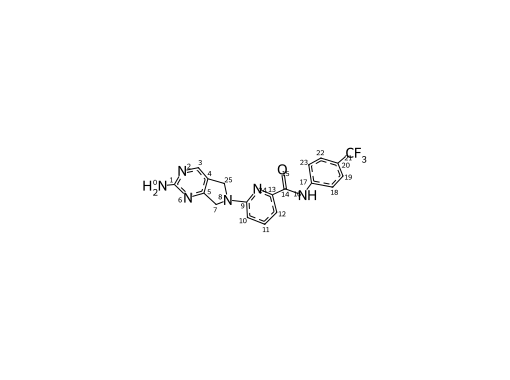 Nc1ncc2c(n1)CN(c1cccc(C(=O)Nc3ccc(C(F)(F)F)cc3)n1)C2